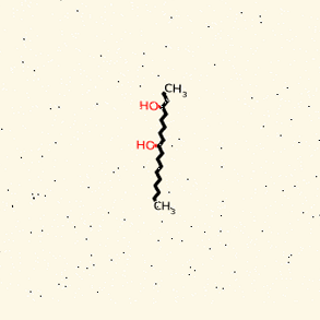 CCCCCCCCCC(O)CCCCCC(O)CCC